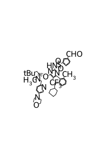 Cc1cccc(CC2CCCCC2)c1-c1nc(NS(=O)(=O)c2cccc(C=O)c2)nc(OC[C@@H](CC(C)(C)C)N(C)Cc2ccc(N3CCOCC3)cn2)c1C(F)(F)F